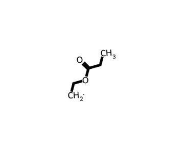 [CH2]COC(=O)CC